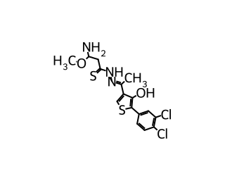 COC(N)CC(=S)NN=C(C)c1csc(-c2ccc(Cl)c(Cl)c2)c1O